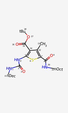 CCCCCCCCCCNC(=O)Nc1sc(C(=O)NCCCCCCCC)c(C)c1C(=O)OC(C)(C)C